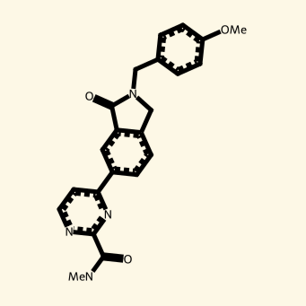 CNC(=O)c1nccc(-c2ccc3c(c2)C(=O)N(Cc2ccc(OC)cc2)C3)n1